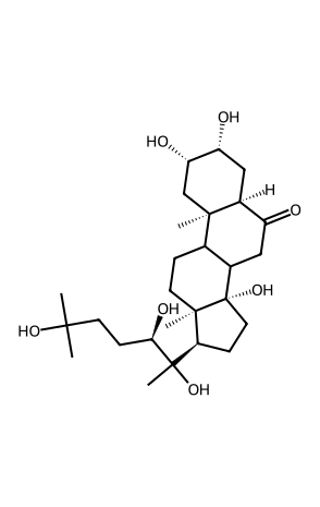 CC(C)(O)CC[C@@H](O)C(C)(O)[C@@H]1CC[C@]2(O)C3CC(=O)[C@@H]4C[C@@H](O)[C@@H](O)C[C@]4(C)C3CC[C@]12C